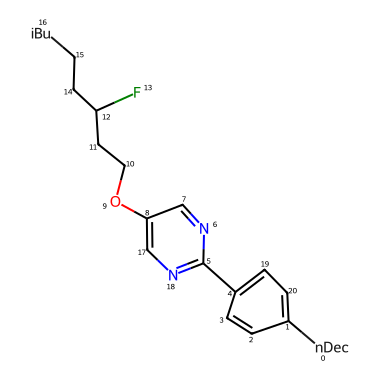 CCCCCCCCCCc1ccc(-c2ncc(OCCC(F)CCC(C)CC)cn2)cc1